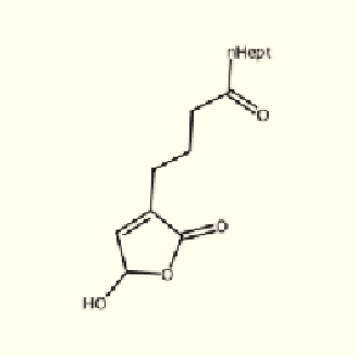 CCCCCCCC(=O)CCCC1=CC(O)OC1=O